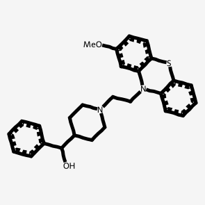 COc1ccc2c(c1)N(CCN1CCC(C(O)c3ccccc3)CC1)c1ccccc1S2